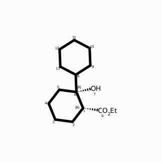 CCOC(=O)[C@@H]1CCCC[C@@]1(O)C1CCCCC1